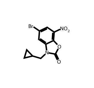 O=c1oc2c([N+](=O)[O-])cc(Br)cc2n1CC1CC1